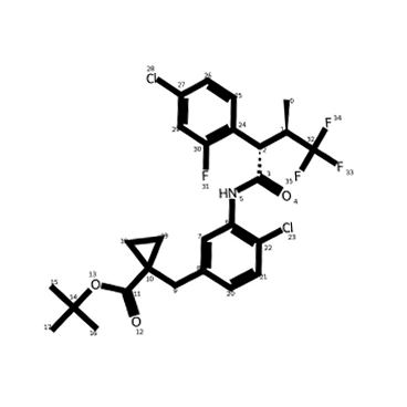 C[C@H]([C@H](C(=O)Nc1cc(CC2(C(=O)OC(C)(C)C)CC2)ccc1Cl)c1ccc(Cl)cc1F)C(F)(F)F